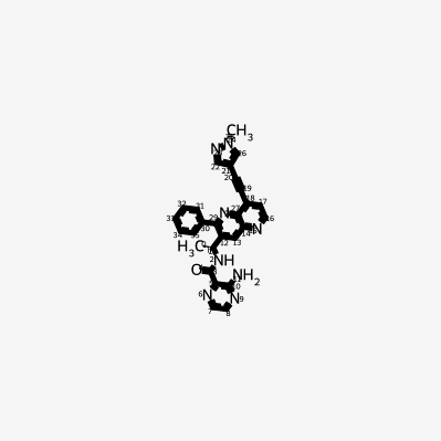 C[C@@H](NC(=O)c1nccnc1N)c1cc2nccc(C#Cc3cnn(C)c3)c2nc1-c1ccccc1